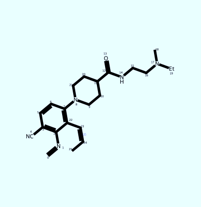 C=Nc1c(C#N)ccc(N2CCC(C(=O)NCCN(C)CC)CC2)c1/C=C\C